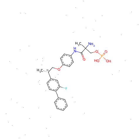 C[C@H](COc1ccc(NC(=O)C(C)(N)COP(=O)(O)O)cc1)c1ccc(-c2ccccc2)c(F)c1